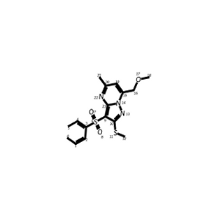 C/C=C\C(=C/C)S(=O)(=O)c1c(SC)nn2c(COC)cc(C)nc12